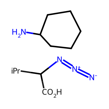 CC(C)C(N=[N+]=[N-])C(=O)O.NC1CCCCC1